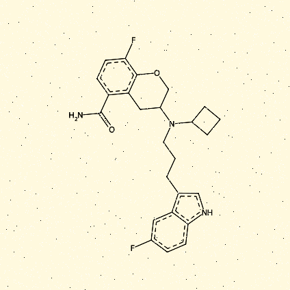 NC(=O)c1ccc(F)c2c1CC(N(CCCc1c[nH]c3ccc(F)cc13)C1CCC1)CO2